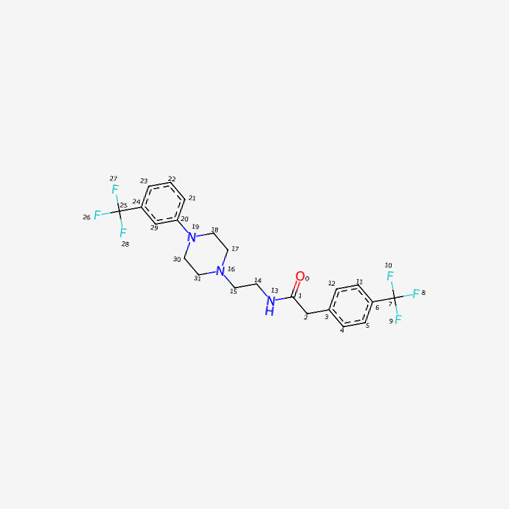 O=C(Cc1ccc(C(F)(F)F)cc1)NCCN1CCN(c2cccc(C(F)(F)F)c2)CC1